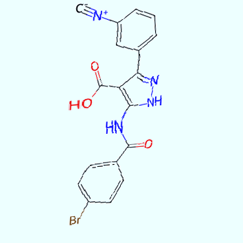 [C-]#[N+]c1cccc(-c2n[nH]c(NC(=O)c3ccc(Br)cc3)c2C(=O)O)c1